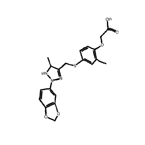 Cc1cc(SCC2=NN(c3ccc4c(c3)OCO4)NC2C)ccc1OCC(=O)O